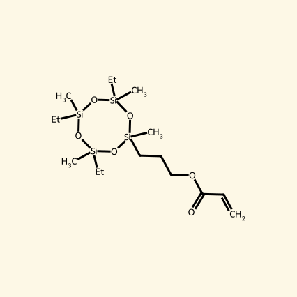 C=CC(=O)OCCC[Si]1(C)O[Si](C)(CC)O[Si](C)(CC)O[Si](C)(CC)O1